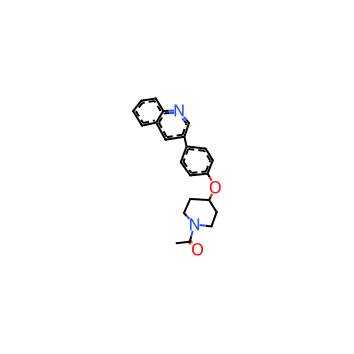 CC(=O)N1CCC(Oc2ccc(-c3cnc4ccccc4c3)cc2)CC1